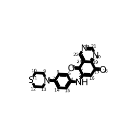 O=C1C(Nc2ccc(N3CCSCC3)cc2)=CC(=O)c2ncncc21